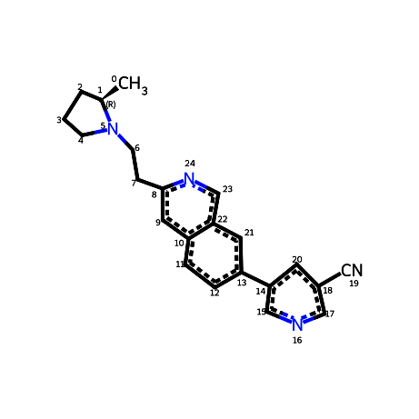 C[C@@H]1CCCN1CCc1cc2ccc(-c3cncc(C#N)c3)cc2cn1